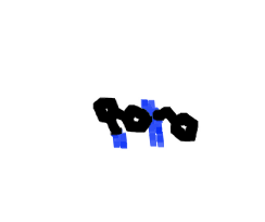 N#Cc1ccccc1-c1ccc2[nH]c(Cc3ccccc3)nc2c1